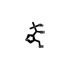 CC(C)(C)[Si](C)(C)C(O)c1cocc1CO